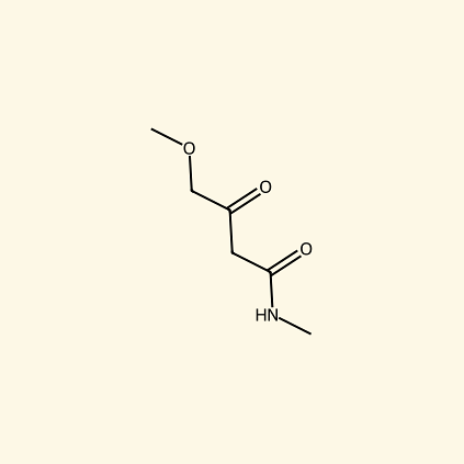 CNC(=O)CC(=O)COC